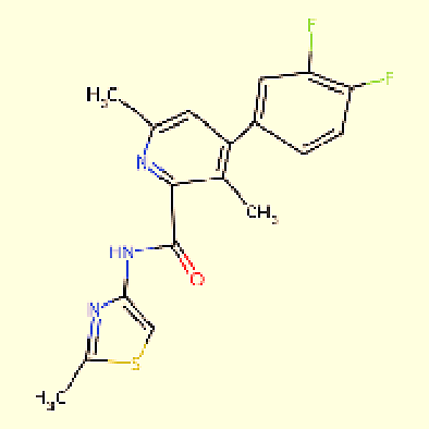 Cc1cc(-c2ccc(F)c(F)c2)c(C)c(C(=O)Nc2csc(C)n2)n1